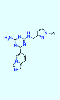 CC(C)n1ccc(CNc2nc(N)nc(-c3ccc4cncn4c3)n2)n1